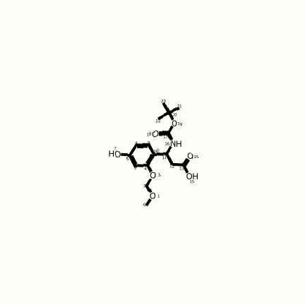 COCOc1cc(O)ccc1C(CC(=O)O)NC(=O)OC(C)(C)C